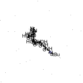 C/C(CCNC(=O)CCNC(=O)[C@@H](O)C(C)(C)COP(=O)(O)OP(=O)(O)OCC1OC(n2cnc3c(C)ncnc32)C(O)C1OP(=O)(O)O)=N\OC(C)(C)C